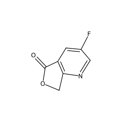 O=C1OCc2ncc(F)cc21